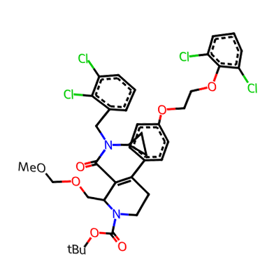 COCOCC1C(C(=O)N(Cc2cccc(Cl)c2Cl)C2CC2)=C(c2ccc(OCCOc3c(Cl)cccc3Cl)cc2)CCN1C(=O)OC(C)(C)C